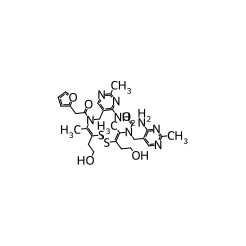 CC(=C(CCO)SSC(CCO)=C(C)N(Cc1cnc(C)nc1N)C(=O)Cc1ccco1)N(C=O)Cc1cnc(C)nc1N